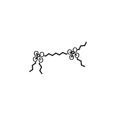 CCCCOP(=O)(OCCCC)OCCCCCCCOP(=O)(OCCCC)OCCCC